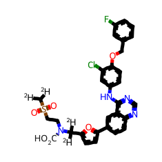 [2H]C([2H])S(=O)(=O)CCN(C(=O)O)C([2H])([2H])c1ccc(-c2ccc3ncnc(Nc4ccc(OCc5cccc(F)c5)c(Cl)c4)c3c2)o1